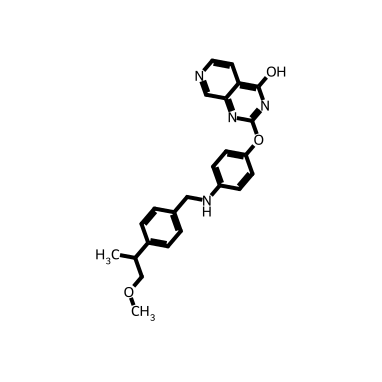 COCC(C)c1ccc(CNc2ccc(Oc3nc(O)c4ccncc4n3)cc2)cc1